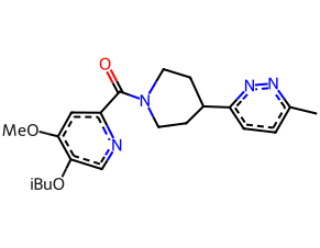 COc1cc(C(=O)N2CCC(c3ccc(C)nn3)CC2)ncc1OCC(C)C